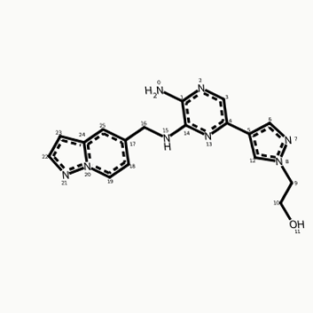 Nc1ncc(-c2cnn(CCO)c2)nc1NCc1ccn2nccc2c1